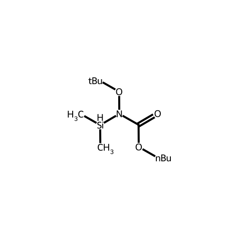 CCCCOC(=O)N(OC(C)(C)C)[SiH](C)C